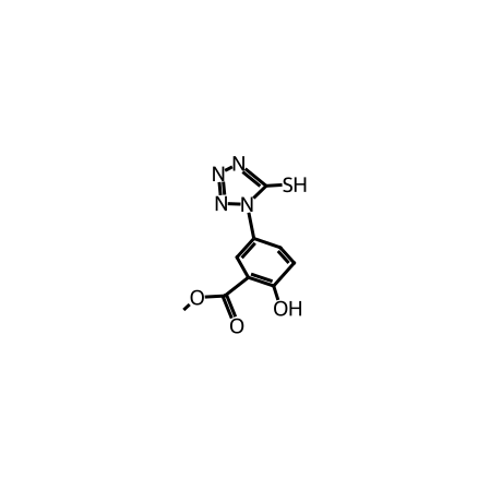 COC(=O)c1cc(-n2nnnc2S)ccc1O